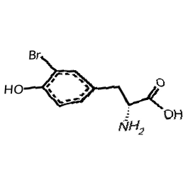 N[C@H](Cc1ccc(O)c(Br)c1)C(=O)O